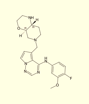 COc1cc(Nc2ncnn3ccc(CN4CC[C@H]5NCCO[C@@H]5C4)c23)ccc1F